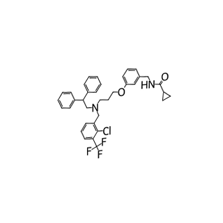 O=C(NCc1cccc(OCCCN(Cc2cccc(C(F)(F)F)c2Cl)CC(c2ccccc2)c2ccccc2)c1)C1CC1